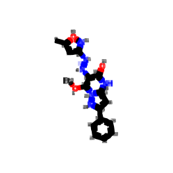 CCOc1c(/N=N/c2cc(C)on2)c(=O)[nH]c2cc(-c3ccccc3)nn12